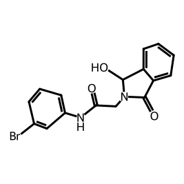 O=C(CN1C(=O)c2ccccc2C1O)Nc1cccc(Br)c1